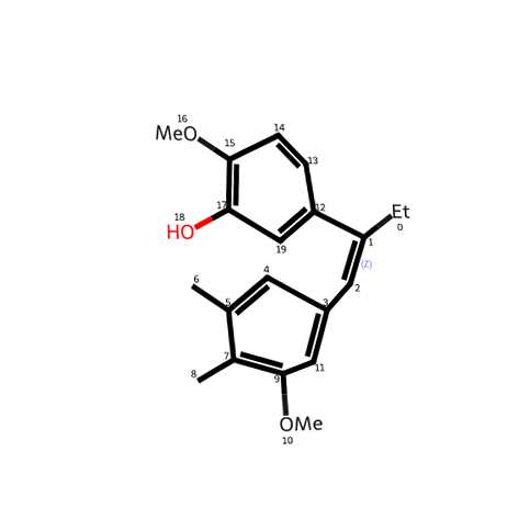 CC/C(=C/c1cc(C)c(C)c(OC)c1)c1ccc(OC)c(O)c1